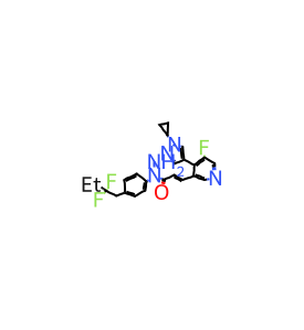 CCC(F)(F)Cc1ccc(N(N)C(=O)/C=C/c2cncc(F)c2-c2cnn(C3CC3)c2)cc1